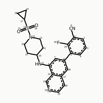 N#Cc1cccc(-c2cc(NC3CCN(S(=O)(=O)C4CC4)CC3)c3cnccc3c2)c1F